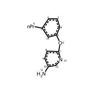 CCCc1cccc(Oc2ccc(N)cn2)c1